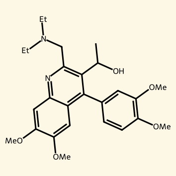 CCN(CC)Cc1nc2cc(OC)c(OC)cc2c(-c2ccc(OC)c(OC)c2)c1C(C)O